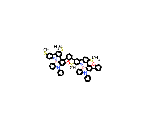 CSc1ccc2c(c1)c1cc(SC)cc3c1n2B1c2ccccc2N(c2ccccc2)c2cc4oc5c(-c6cc7c8ccc(SC)c9c8n(c7cc6SC)B6c7ccccc7N(c7ccccc7)c7cc8c(oc%10ccccc%108)c-9c76)cccc5c4c-3c21